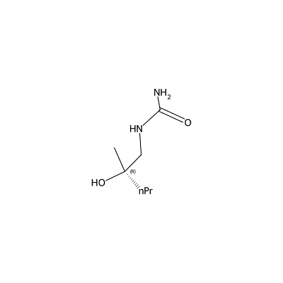 CCC[C@@](C)(O)CNC(N)=O